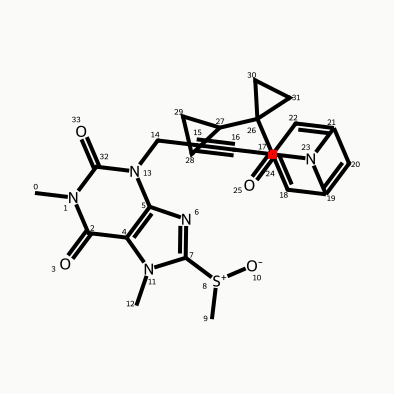 Cn1c(=O)c2c(nc([S+](C)[O-])n2C)n(CC#Cc2cc3cc(c2)N3C(=O)C2(C3CC3)CC2)c1=O